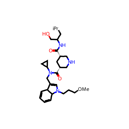 COCCCN1C=C(CN(C(=O)[C@H]2CNC[C@@H](C(=O)NC(CO)CC(C)C)C2)C2CC2)C2C=CC=CC21